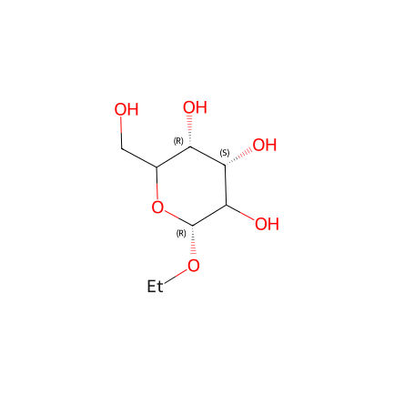 CCO[C@@H]1OC(CO)[C@H](O)[C@H](O)C1O